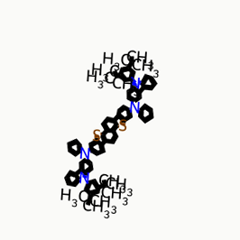 CC(C)(C)c1cc(-n2c3ccccc3c3cc(N(c4ccccc4)c4ccc5c(c4)sc4c5ccc5c4ccc4c6ccc(N(c7ccccc7)c7ccc8c(c7)c7ccccc7n8-c7cc(C(C)(C)C)cc(C(C)(C)C)c7)cc6sc45)ccc32)cc(C(C)(C)C)c1